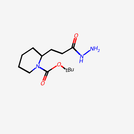 CC(C)(C)OC(=O)N1CCCCC1CCC(=O)NN